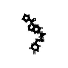 O=C(C1CCCC1)N1CCc2cc([C@@H]3C[C@H]3NCC3CCNCC3)ccc21